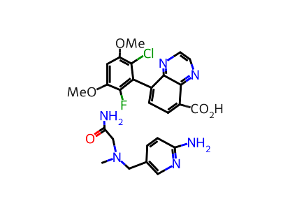 CN(CC(N)=O)Cc1ccc(N)nc1.COc1cc(OC)c(Cl)c(-c2ccc(C(=O)O)c3nccnc23)c1F